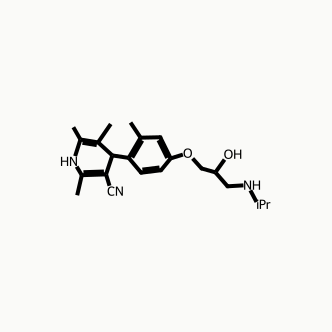 CC1=C(C)C(c2ccc(OCC(O)CNC(C)C)cc2C)C(C#N)=C(C)N1